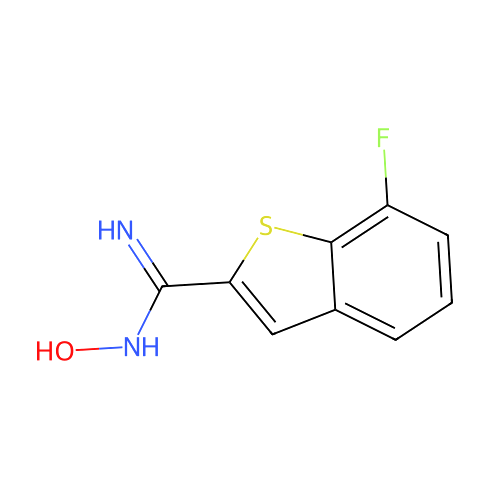 N=C(NO)c1cc2cccc(F)c2s1